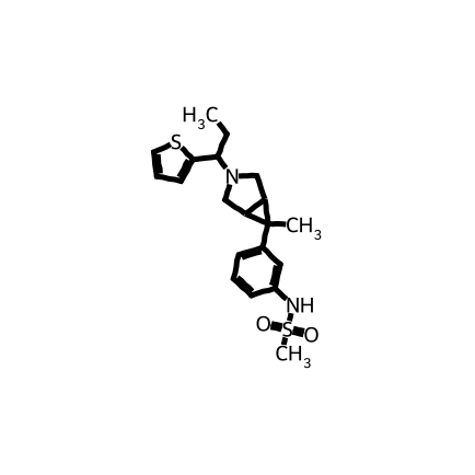 CCC(c1cccs1)N1CC2C(C1)C2(C)c1cccc(NS(C)(=O)=O)c1